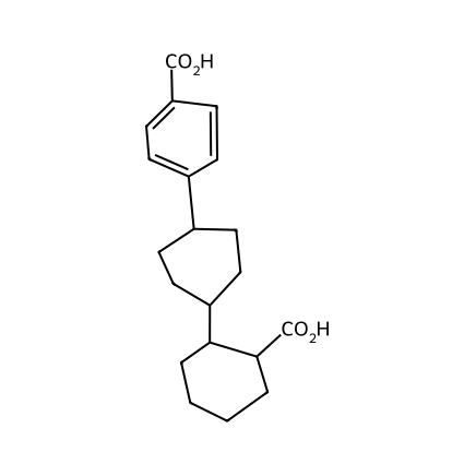 O=C(O)c1ccc(C2CCC(C3CCCCC3C(=O)O)CC2)cc1